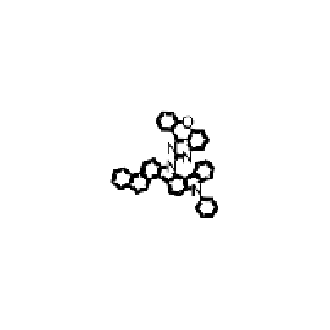 c1ccc(-n2c3ccccc3c3c2ccc2c4c5ccc6ccccc6c5ccc4n(-c4nc5c6c(cccc6n4)Oc4ccccc4-5)c23)cc1